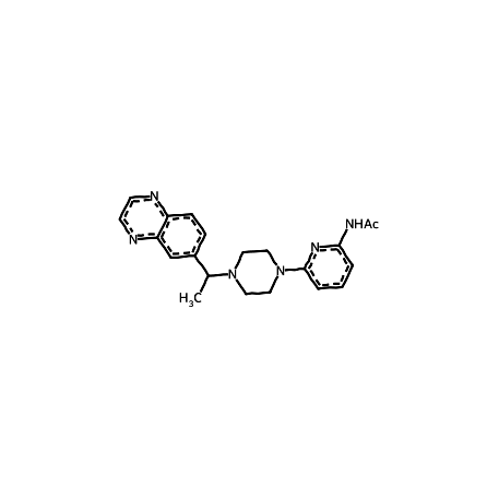 CC(=O)Nc1cccc(N2CCN(C(C)c3ccc4nccnc4c3)CC2)n1